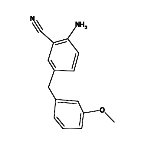 COc1cccc(Cc2ccc(N)c(C#N)c2)c1